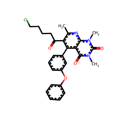 Cc1nc2c(c(-c3cccc(Oc4ccccc4)c3)c1C(=O)CCCCCl)c(=O)n(C)c(=O)n2C